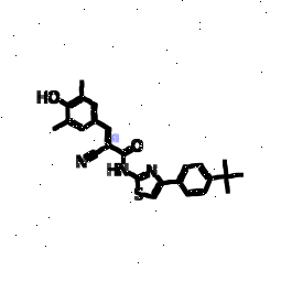 Cc1cc(/C=C(\C#N)C(=O)Nc2nc(-c3ccc(C(C)(C)C)cc3)cs2)cc(C)c1O